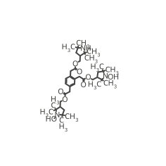 CC1(C)CC(COC(=O)Cc2ccc(CC(=O)OCC3CC(C)(C)N(O)C3(C)C)cc2CC(=O)OCC2CC(C)(C)N(O)C2(C)C)C(C)(C)N1